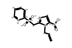 C=CCn1c([N+](=O)[O-])cnc1CS(=O)(=O)c1ccccn1